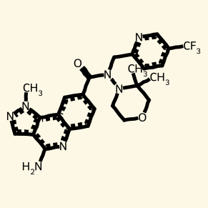 Cn1ncc2c(N)nc3ccc(C(=O)N(Cc4ccc(C(F)(F)F)cn4)N4CCOCC4(C)C)cc3c21